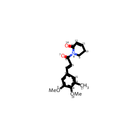 COc1cc(/C=C/C(=O)N2CCC=CC2=O)cc(C)c1OC